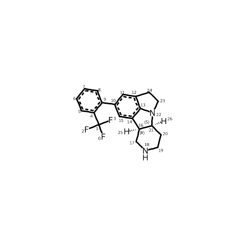 FC(F)(F)c1ccccc1-c1cc2c3c(c1)[C@@H]1CNCC[C@@H]1N3CC2